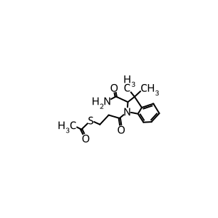 CC(=O)SCCC(=O)N1c2ccccc2C(C)(C)C1C(N)=O